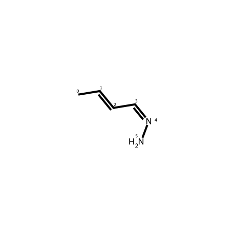 CC=C/C=N\N